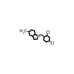 Cc1ccc2c([c]cn2Cc2ccc(Cl)cc2Cl)c1